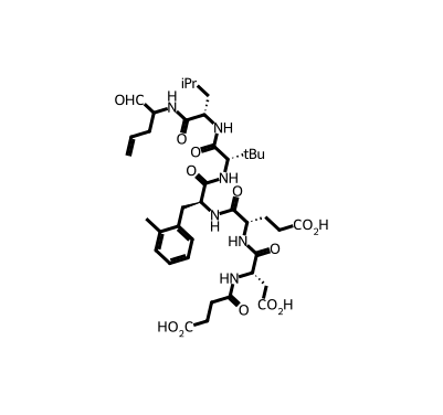 C=CCC(C=O)NC(=O)[C@H](CC(C)C)NC(=O)[C@@H](NC(=O)[C@H](Cc1ccccc1C)NC(=O)[C@H](CCC(=O)O)NC(=O)[C@H](CC(=O)O)NC(=O)CCC(=O)O)C(C)(C)C